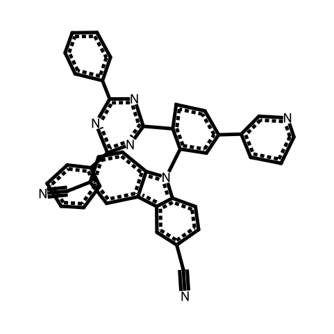 N#Cc1ccc2c(c1)c1cc(C#N)ccc1n2-c1cc(-c2cccnc2)ccc1-c1nc(-c2ccccc2)nc(-c2ccccc2)n1